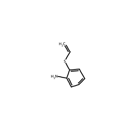 C=CSc1ccccc1N